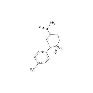 NC(=O)N1CCS(=O)(=O)C(c2ccc(C(F)(F)F)cc2)C1